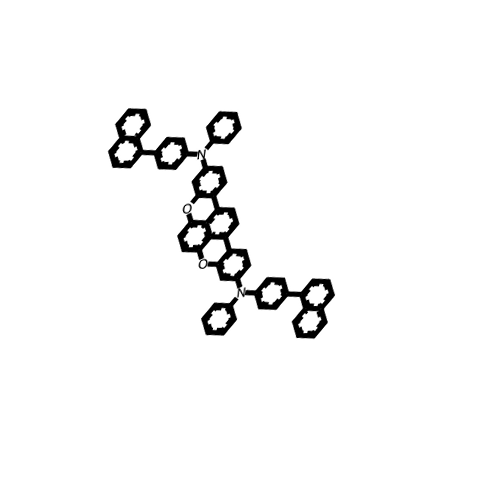 c1ccc(N(c2ccc(-c3cccc4ccccc34)cc2)c2ccc3c(c2)Oc2ccc4c5c(ccc-3c25)-c2ccc(N(c3ccccc3)c3ccc(-c5cccc6ccccc56)cc3)cc2O4)cc1